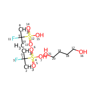 CC(C)(F)S(=O)(=O)O.CC(C)(F)S(=O)(=O)O.OCCCCO